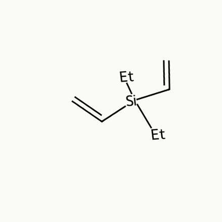 C=C[Si](C=C)(CC)CC